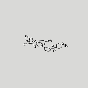 CCn1nc(-c2cccc(S(=O)(=O)c3ccc(OC)cc3)c2)cc(NC(=O)Nc2c(Cl)cncc2Cl)c1=O